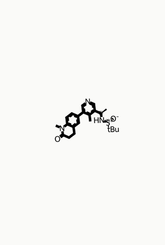 Cc1c(-c2ccc3c(c2)CCC(=O)N3C)cncc1[C@@H](C)N[S@+]([O-])C(C)(C)C